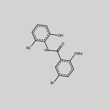 COc1ccc(Br)cc1C(=O)Nc1c(O)cccc1C#N